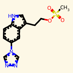 CS(=O)(=O)OCCc1c[nH]c2ccc(-n3cnnc3)cc12